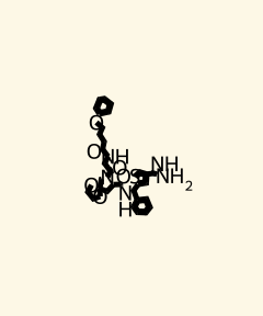 N=C(N)c1csc([C@H](NC(=O)C2CC3(CN2C(=O)CNC(=O)CCCOc2ccccc2)OCCO3)c2ccccc2)c1